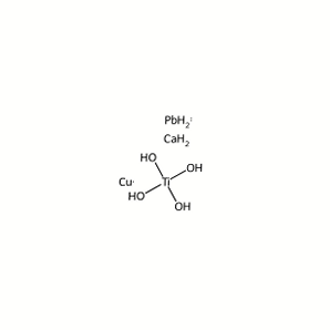 [CaH2].[Cu].[OH][Ti]([OH])([OH])[OH].[PbH2]